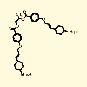 CCCCCCCC1CCC(/C=C/COc2ccc(C(=O)OC[C@@H](C)OC(=O)c3ccc(OC/C=C/C4CCC(CCCCCCC)CC4)cc3)cc2)CC1